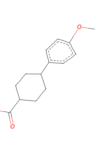 COC(=O)C1CCC(c2ccc(OC)cc2)CC1